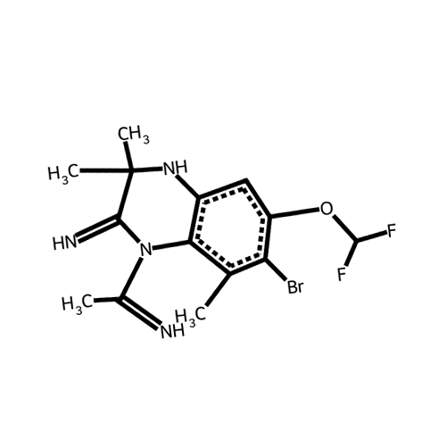 CC(=N)N1C(=N)C(C)(C)Nc2cc(OC(F)F)c(Br)c(C)c21